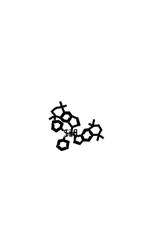 CC1(C)CCC(C)(C)c2cc3c(cc21)C=C[CH]3[Hf]([CH]1C=Cc2cc3c(cc21)C(C)(C)CCC3(C)C)[SiH](c1ccccc1)c1ccccc1